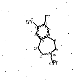 CC(C)c1cc2c(cc1F)CCN(C(C)C)CC2